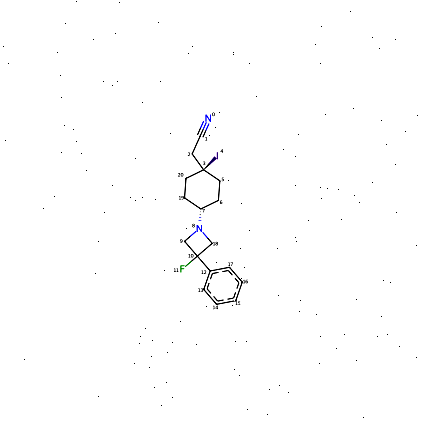 N#CC[C@]1(I)CC[C@H](N2CC(F)(c3ccccc3)C2)CC1